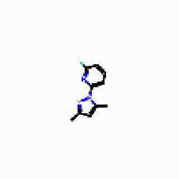 Cc1cc(C)n(-c2cccc(F)n2)n1